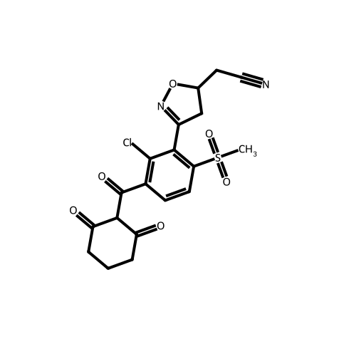 CS(=O)(=O)c1ccc(C(=O)C2C(=O)CCCC2=O)c(Cl)c1C1=NOC(CC#N)C1